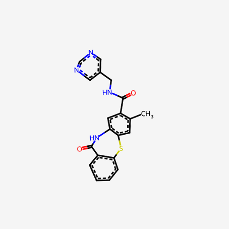 Cc1cc2c(cc1C(=O)NCc1cncnc1)NC(=O)c1ccccc1S2